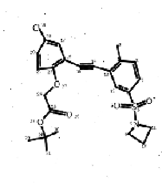 Cc1ccc(S(=O)(=O)N2CCC2)cc1C#Cc1cc(Cl)ccc1OCC(=O)OC(C)(C)C